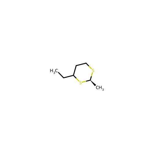 CCC1CCS[C@@H](C)S1